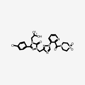 O=C(c1ncccc1-n1cnc(Cn2nc(-c3ccc(Cl)cc3)n(CC(O)C(F)(F)F)c2=O)n1)N1CCS(=O)(=O)CC1